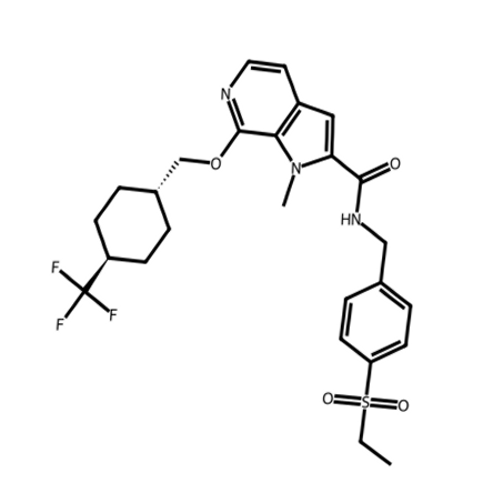 CCS(=O)(=O)c1ccc(CNC(=O)c2cc3ccnc(OC[C@H]4CC[C@H](C(F)(F)F)CC4)c3n2C)cc1